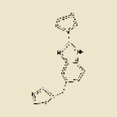 c1cn(Cc2ccc3[nH]c(-n4ccnc4)nc3c2)cn1